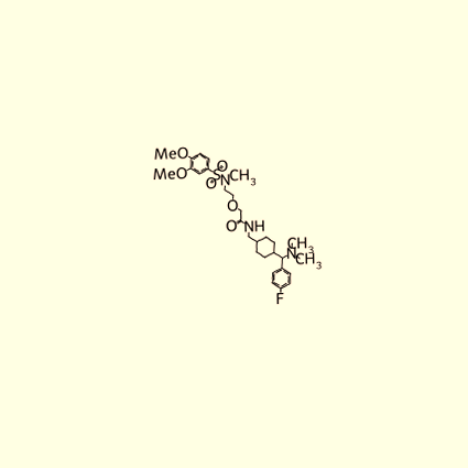 COc1ccc(S(=O)(=O)N(C)CCOCC(=O)NCC2CCC(C(c3ccc(F)cc3)N(C)C)CC2)cc1OC